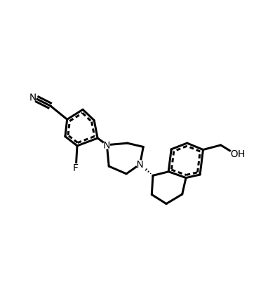 N#Cc1ccc(N2CCN([C@H]3CCCc4cc(CO)ccc43)CC2)c(F)c1